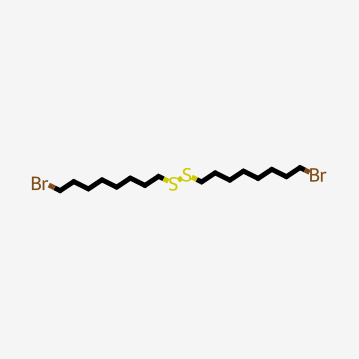 BrCCCCCCCCSSCCCCCCCCBr